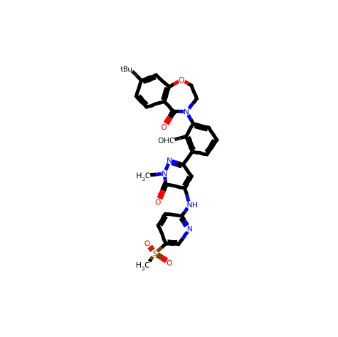 Cn1nc(-c2cccc(N3CCOc4cc(C(C)(C)C)ccc4C3=O)c2C=O)cc(Nc2ccc(S(C)(=O)=O)cn2)c1=O